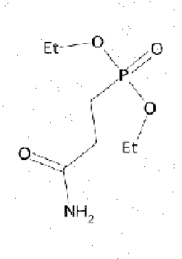 CCOP(=O)(CCC(N)=O)OCC